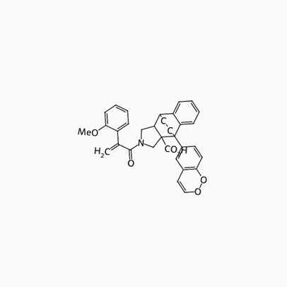 C=C(C(=O)N1CC2C3CCC(c4ccc5c(c4)C=COO5)(c4ccccc43)C2(C(=O)O)C1)c1ccccc1OC